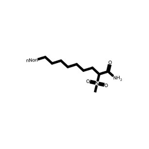 CCCCCCCCCCCCCCCCC(C(N)=O)S(C)(=O)=O